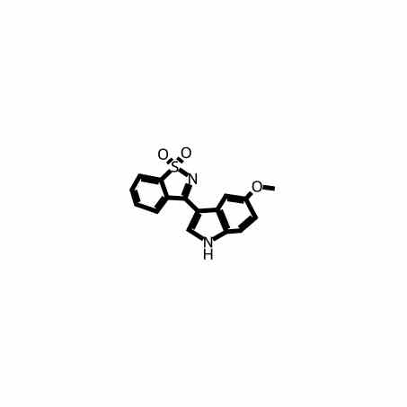 COc1ccc2[nH]cc(C3=NS(=O)(=O)c4ccccc43)c2c1